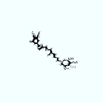 O[C@H]1[C@H](O)[C@@H](O)CN(CCCCC(F)COCc2csc(-c3cc(F)c(F)c(F)c3)n2)C[C@@H]1O